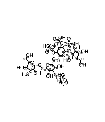 O.O.O.O.O=S(=O)(O)O[C@@H]1[C@@H](OS(=O)(=O)O)[C@@H](O[C@]2(CO)O[C@H](CO)[C@@H](O)[C@@H]2O)O[C@H](CO[C@H]2O[C@H](CO[C@H]3O[C@H](CO)[C@H](O)[C@H](O)[C@H]3O)[C@H](O)[C@H](O)[C@H]2O)[C@H]1OS(=O)(=O)O